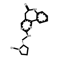 CCN1CCC[C@H]1CNc1ncc2c(n1)-c1ccccc1NC(=O)C2